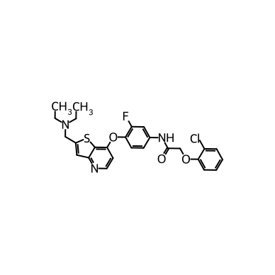 CCN(CC)Cc1cc2nccc(Oc3ccc(NC(=O)COc4ccccc4Cl)cc3F)c2s1